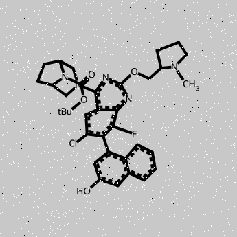 CN1CCCC1COc1nc(N2CC3CCC(C2)N3C(=O)OC(C)(C)C)c2cc(Cl)c(-c3cc(O)cc4ccccc34)c(F)c2n1